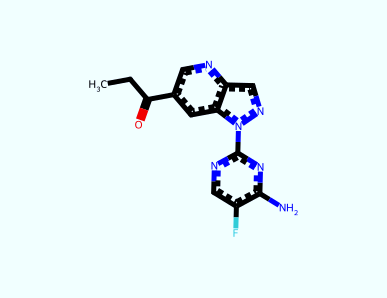 CCC(=O)c1cnc2cnn(-c3ncc(F)c(N)n3)c2c1